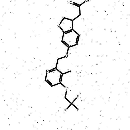 Cc1c(OCC(F)(F)F)ccnc1COc1ccc2c(c1)OCC2CC(=O)O